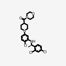 C[C@@H](Nc1cc(N2CCC(C(=O)N3CCOCC3)CC2)ccc1Cl)c1ccc(Cl)cc1Cl